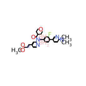 BC(B)(c1ccc(-c2ccc(N(C)C)nc2)c(F)c1)N(C(=O)C1CCOCC1)c1cc(/C=C/C(=O)OC)ccn1